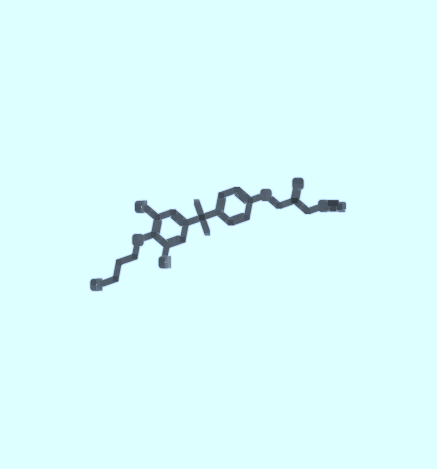 COCC(=O)COc1ccc(C(C)(C)c2cc(Cl)c(OCCCCl)c(Cl)c2)cc1